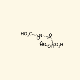 C1CCCCC1.O=C(O)CCCCC(=O)OCCCCOC(=O)CCCCC(=O)O.OCCO